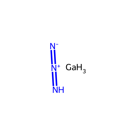 [GaH3].[N-]=[N+]=N